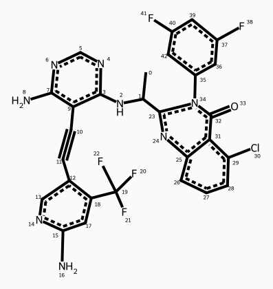 CC(Nc1ncnc(N)c1C#Cc1cnc(N)cc1C(F)(F)F)c1nc2cccc(Cl)c2c(=O)n1-c1cc(F)cc(F)c1